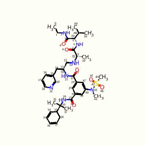 CCNC(=O)[C@@H](NC(=O)[C@H](C)NC[C@H](Cc1cccnc1)NC(=O)c1cc(C(=O)NC(C)(C)C2C=CC=CC2)cc(N(C)S(C)(=O)=O)c1)C(C)C